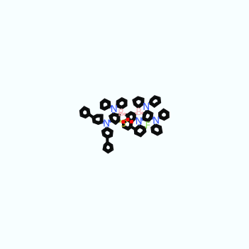 Fc1cccc(-c2ccccc2)c1N1c2cc3c(cc2B2c4ccccc4N(c4ccccc4)c4cc(N(c5ccccc5)c5ccccc5)cc1c42)B1c2ccccc2N(c2ccccc2)c2cc(N(c4ccc(-c5ccccc5)cc4)c4ccc(-c5ccccc5)cc4)cc(c21)S3